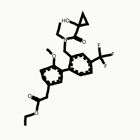 CCOC(=O)Cc1ccc(OC)c(-c2ccc(C(F)(F)F)cc2CN(CC)C(=O)C2(O)CC2)c1